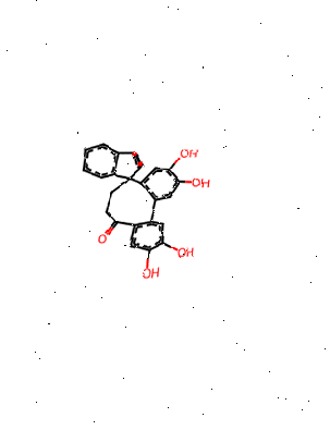 O=C1CCC2(c3cc(O)c(O)cc3-c3cc(O)c(O)cc31)c1ccccc1-c1ccccc12